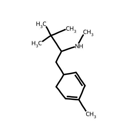 CNC(CC1C=CC(C)=CC1)C(C)(C)C